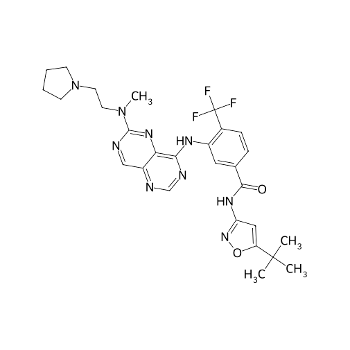 CN(CCN1CCCC1)c1ncc2ncnc(Nc3cc(C(=O)Nc4cc(C(C)(C)C)on4)ccc3C(F)(F)F)c2n1